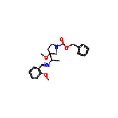 COc1ccccc1/C=N/C(C)C1(OC)CCN(C(=O)OCc2ccccc2)C1